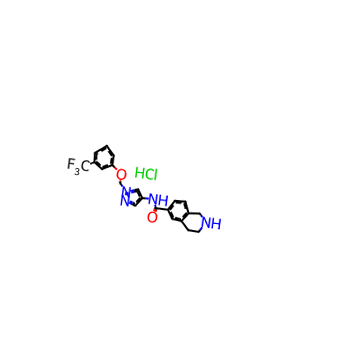 Cl.O=C(Nc1cnn(COc2cccc(C(F)(F)F)c2)c1)c1ccc2c(c1)CCNC2